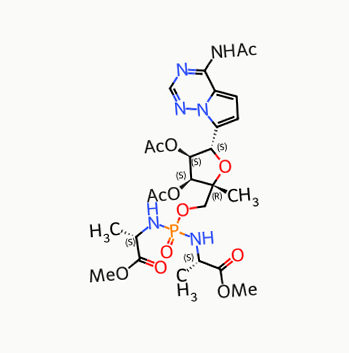 COC(=O)[C@H](C)NP(=O)(N[C@@H](C)C(=O)OC)OC[C@@]1(C)O[C@@H](c2ccc3c(NC(C)=O)ncnn23)[C@H](OC(C)=O)[C@@H]1OC(C)=O